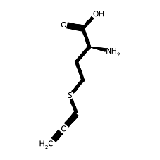 C=C=CSCC[C@H](N)C(=O)O